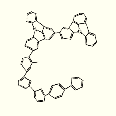 Cc1cc(-c2cccc(-c3cccc(-c4ccc(-c5ccccc5)cc4)c3)c2)ccc1-c1ccc2c(c1)c1cc(-c3ccc4c(c3)c3cccc5c6ccccc6n4c53)cc3c4ccccc4n2c31